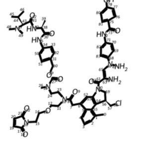 Cc1cccc2c(CC(=O)N(CCOCCN3C(=O)C=CC3=O)CCN(C)C(=O)OCc3ccc(NC(=O)[C@H](C)NC(=O)[C@H](C(C)C)N(C)C)cc3)cc3c(c12)[C@H](CCl)CN3C(=O)/C(N)=C/N(N)c1ccc(NC(=O)c2ccc(O)cc2)cc1